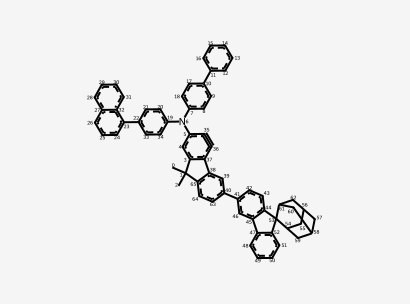 CC1(C)c2cc(N(c3ccc(-c4ccccc4)cc3)c3ccc(-c4cccc5ccccc45)cc3)c#cc2-c2cc(-c3ccc4c(c3)-c3ccccc3C43C4CC5CC(C4)CC3C5)ccc21